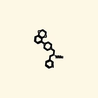 CN[C@H](Cc1cccnc1)CN1CCN(c2cccc3c2OCCO3)CC1